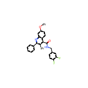 CC(C)Oc1ccc2c(C(=O)NCc3ccc(F)c(F)c3)c(C(C)C)c(-c3ccccc3)nc2c1